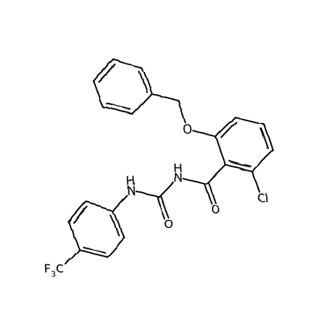 O=C(NC(=O)c1c(Cl)cccc1OCc1ccccc1)Nc1ccc(C(F)(F)F)cc1